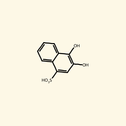 O=S(=O)(O)c1cc(O)c(O)c2ccccc12